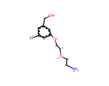 CCc1cc(CO)cc(OCCOCCN)c1